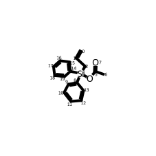 C=CC[Si](OC(C)=O)(c1ccccc1)c1ccccc1